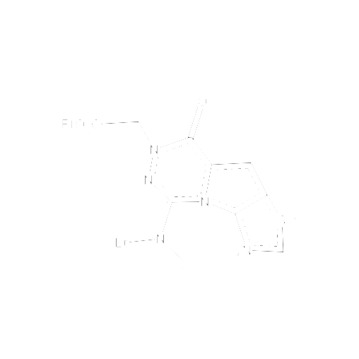 CCOC(=O)Cn1nc(N(C)CC)n2c(cc3scnc32)c1=O